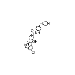 CN1CCN(Cc2ccc(NC(=O)N3CCC(C4(C)[C@H](O)c5cc(Cl)cc6cnn4c56)CC3)cc2)CC1